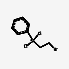 Cl[Si](Cl)(CCBr)c1ccccc1